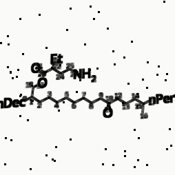 CCCCCCCCCCC(CCCCCCCCC(=O)CCCC(C)CCCCC)COC(=O)C(CC)CCN